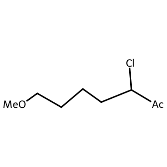 COCCCCC(Cl)C(C)=O